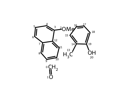 C=O.COc1cccc2ccccc12.Cc1ccccc1O